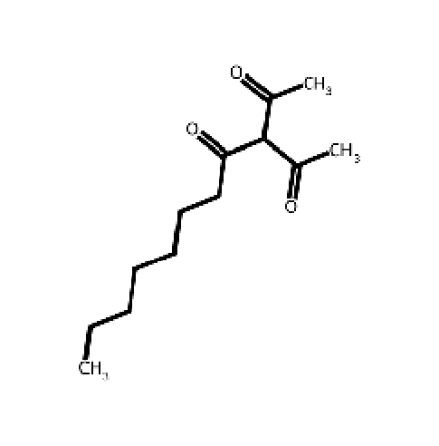 CCCCCCCC(=O)C(C(C)=O)C(C)=O